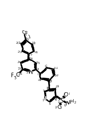 NS(=O)(=O)c1cncc(-c2cccc(-c3cc(-c4ccc(C(F)(F)F)cc4)cc(C(F)(F)F)n3)c2)c1